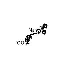 CC(C)(C(=O)[O-])c1cn2nc(CCCCN3CCC(OC(c4ccccc4)c4ccccc4)CC3)ccc2n1.[Na+]